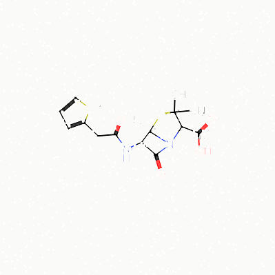 CC1(C)S[C@@H]2C(NC(=O)Cc3cccs3)C(=O)N2C1C(=O)O